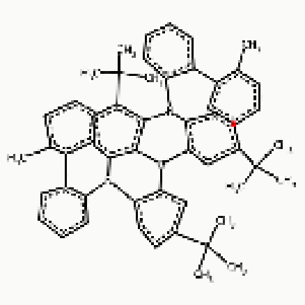 Cc1ccccc1-c1ccccc1N1c2ccc(C(C)(C)C)cc2B2c3cc(C(C)(C)C)ccc3N(c3ccccc3-c3ccccc3C)c3c(C(C)(C)C)ccc1c32